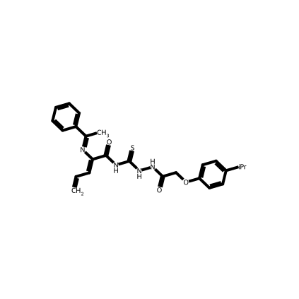 C=C/C=C(\N=C(/C)c1ccccc1)C(=O)NC(=S)NNC(=O)COc1ccc(C(C)C)cc1